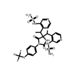 CC(c1ccncc1NS(N)(=O)=O)C1(C(C)c2ccncc2NS(N)(=O)=O)NC(=O)N(c2ccc(SC(F)(F)F)cc2)C1=O